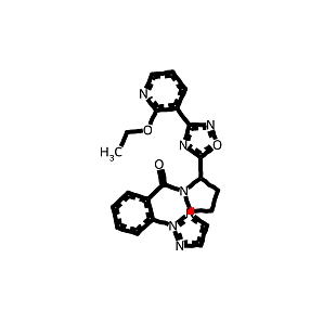 CCOc1ncccc1-c1noc(C2CCCN2C(=O)c2ccccc2-n2nccn2)n1